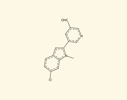 Cn1c(-c2cncc(C=O)c2)cc2ccc(Cl)cc21